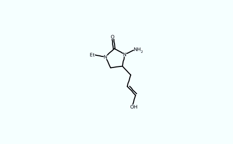 CCN1CC(CC=CO)N(N)C1=O